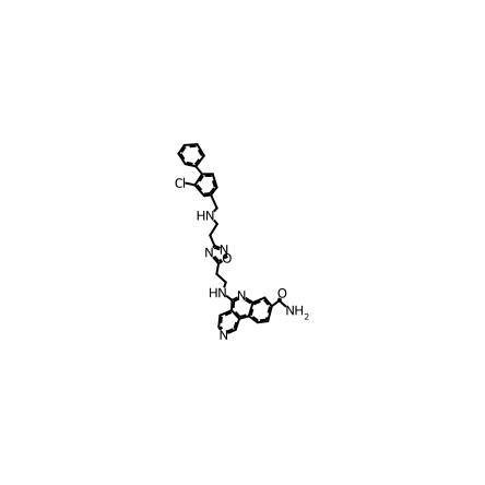 NC(=O)c1ccc2c(c1)nc(NCCc1nc(CCNCc3ccc(-c4ccccc4)c(Cl)c3)no1)c1ccncc12